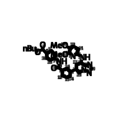 CCCCOC(=O)c1ccc(NC(=O)c2cccc(-c3cc(Nc4ccc(OC)c(OC)n4)c4ncnn4c3)c2)cc1